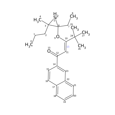 CCCC1(C)[SiH2]C1(CC)O/C(=C\C(=O)c1ccc2ccccc2c1)C(C)(C)C